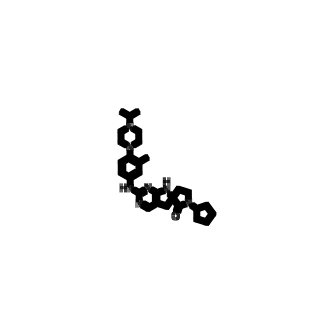 Cc1cc(Nc2ncc3c(n2)NC2(CCN(C4CCCC4)C2=O)C3)ccc1N1CCN(C(C)C)CC1